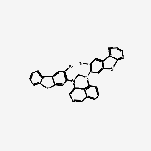 Brc1cc2c(cc1N1CN(c3cc4sc5ccccc5c4cc3Br)c3cccc4cccc1c34)sc1ccccc12